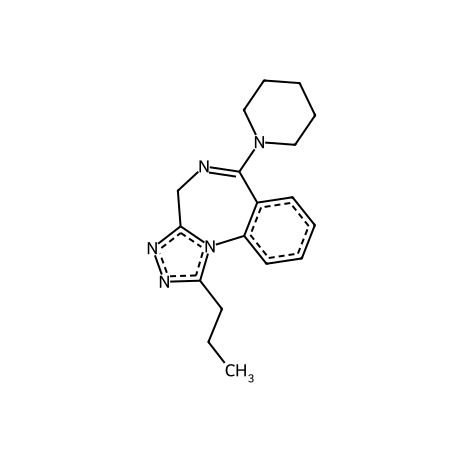 CCCc1nnc2n1-c1ccccc1C(N1CCCCC1)=NC2